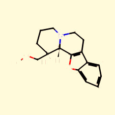 COC[C@@]1(C)CCCN2CCc3c(oc4ccccc34)[C@@H]21